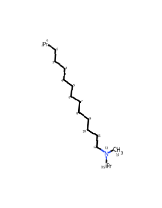 CC(C)CCCCCCCCCCCCN(C)C(C)C